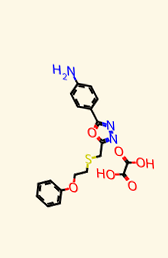 Nc1ccc(-c2nnc(CSCCOc3ccccc3)o2)cc1.O=C(O)C(=O)O